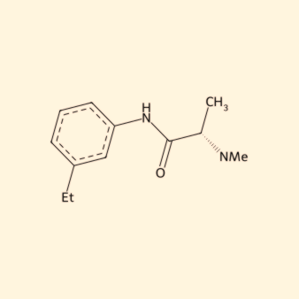 CCc1cccc(NC(=O)[C@H](C)NC)c1